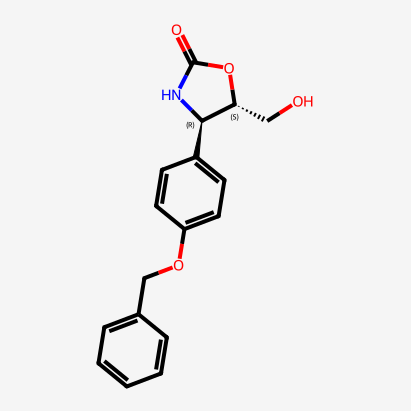 O=C1N[C@H](c2ccc(OCc3ccccc3)cc2)[C@@H](CO)O1